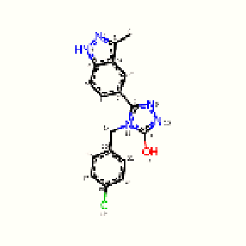 Cc1n[nH]c2ccc(-c3nnc(O)n3Cc3ccc(Cl)cc3)cc12